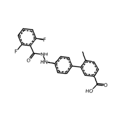 Cc1ccc(C(=O)O)cc1-c1ccc(NNC(=O)c2c(F)cccc2F)cc1